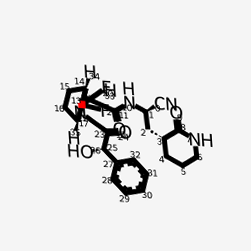 N#C[C@@H](C[C@H]1CCCNC1=O)NC(=O)[C@@H]1[C@H]2CC[C@H](CC2(F)F)N1C(=O)[C@@H](O)c1ccccc1